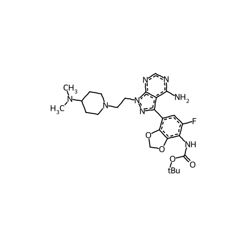 CN(C)C1CCN(CCn2nc(-c3cc(F)c(NC(=O)OC(C)(C)C)c4c3OCO4)c3c(N)ncnc32)CC1